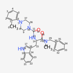 Cc1ccccc1N1CCN(C(=O)NC(Cc2c[nH]c3ccccc23)C(=O)N(C)Cc2ccccc2)CC1